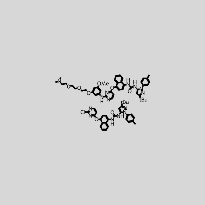 COc1cc(Nc2nccc(Oc3ccc(NC(=O)Nc4cc(C(C)(C)C)nn4-c4ccc(C)cc4)c4ccccc34)n2)cc(OCCOCCOCCN(C)C)c1.Cc1ccc(-n2nc(C(C)(C)C)cc2NC(=O)Nc2ccc(Oc3ccnc(Cl)n3)c3ccccc23)cc1